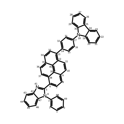 c1ccc(-n2c(-c3ccc4ccc5c(-c6ccc(-n7c8ccccc8c8ccccc87)cc6)ccc6ccc3c4c65)nc3ccccc32)cc1